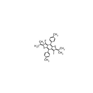 CC(C)=c1sc2c(-c3ccc(C)cc3)c3c(I)c(=C(C)C)sc3c(-c3ccc(C)cc3)c2c1F